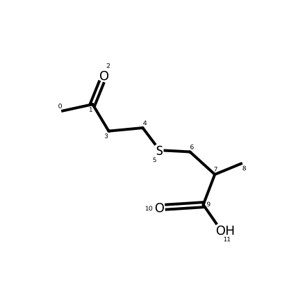 CC(=O)CCSCC(C)C(=O)O